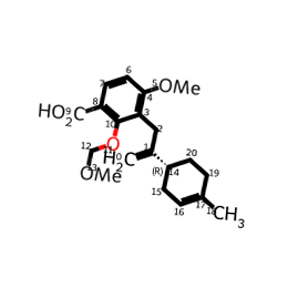 C=C(Cc1c(OC)ccc(C(=O)O)c1OCOC)[C@H]1CC=C(C)CC1